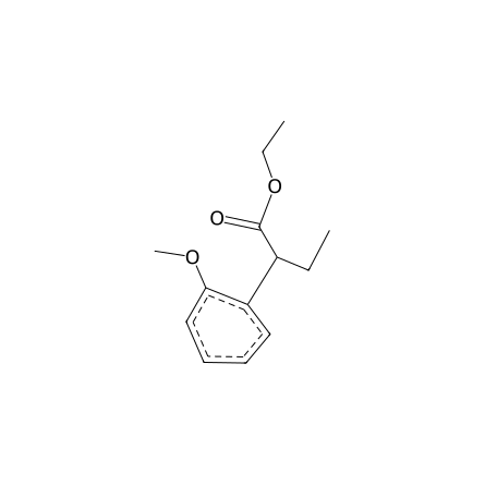 CCOC(=O)C(CC)c1ccccc1OC